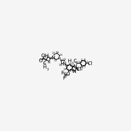 C[C@H](c1ccc(Cl)cc1Cl)n1nnc2c(OC(F)F)cc(N3CC([C@H]4CCCN(C5CC(C)(C(=O)O)C5)C4)C3)cc21